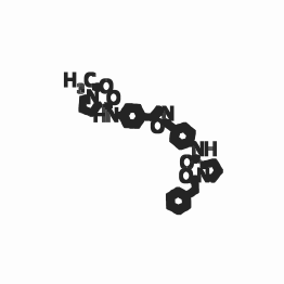 CC(=O)N1CCC[C@H]1C(=O)Nc1ccc(-c2cnc(-c3ccc(NC(=O)[C@@H]4CCCN4C(=O)Cc4ccccc4)cc3)o2)cc1